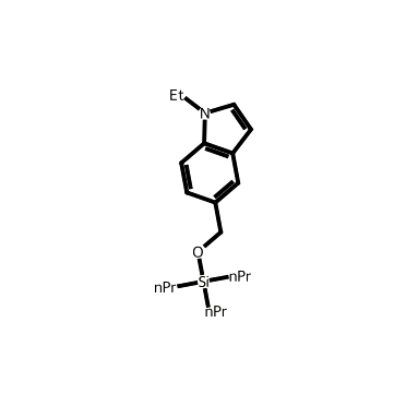 CCC[Si](CCC)(CCC)OCc1ccc2c(ccn2CC)c1